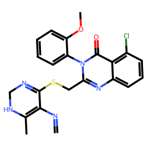 C=NC1=C(C)NCN=C1SCc1nc2cccc(Cl)c2c(=O)n1-c1ccccc1OC